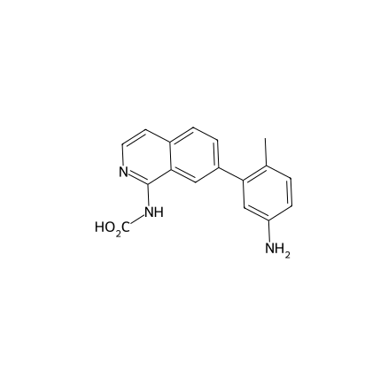 Cc1ccc(N)cc1-c1ccc2ccnc(NC(=O)O)c2c1